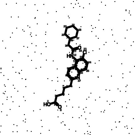 O=C(O)CCCCc1ccc2c(NC(=O)CC3CCCCC3)c(Cl)ccc2n1